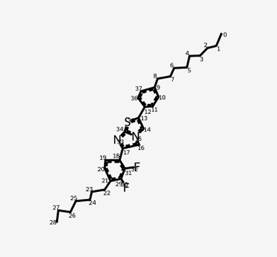 CCCCCCCCCc1ccc(-c2cn3cc(-c4ccc(CCCCCCC)c(F)c4F)nc3s2)cc1